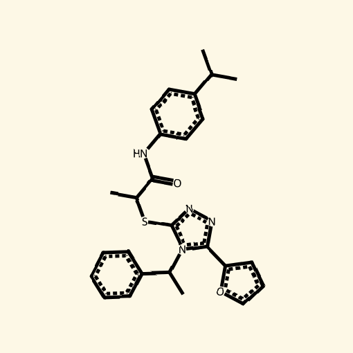 CC(Sc1nnc(-c2ccco2)n1C(C)c1ccccc1)C(=O)Nc1ccc(C(C)C)cc1